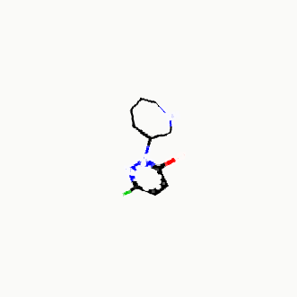 O=c1ccc(Cl)nn1C1CCCCNC1